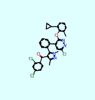 Cc1cccc(C2CC2)c1Oc1nnc(Cl)cc1-c1ccccc1-c1c(C(=O)c2ccc(Cl)cc2Cl)c(C)nn1C